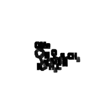 COc1ccc2c(c1)N=C(NC(=O)c1sc(C)nc1C)N1CCN=C21